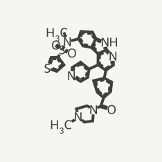 CN1CCN(C(=O)c2ccc(-c3cnc4[nH]c5ccc(N(C)S(=O)(=O)c6ccsc6)cc5c4c3-c3ccncc3)cc2)CC1